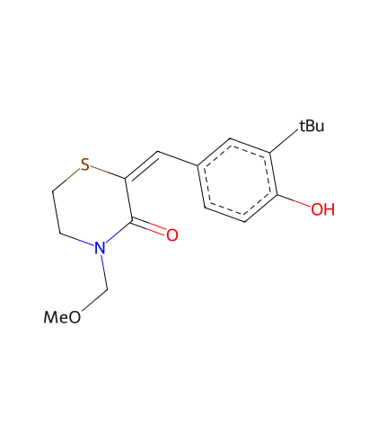 COCN1CCSC(=Cc2ccc(O)c(C(C)(C)C)c2)C1=O